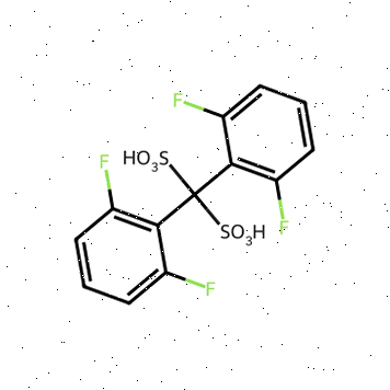 O=S(=O)(O)C(c1c(F)cccc1F)(c1c(F)cccc1F)S(=O)(=O)O